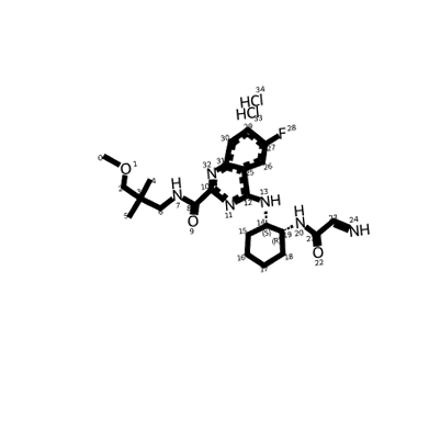 COCC(C)(C)CNC(=O)c1nc(N[C@H]2CCCC[C@H]2NC(=O)C=N)c2cc(F)ccc2n1.Cl.Cl